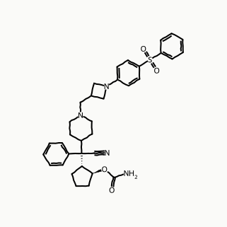 N#CC(c1ccccc1)(C1CCN(CC2CN(c3ccc(S(=O)(=O)c4ccccc4)cc3)C2)CC1)[C@H]1CCC[C@@H]1OC(N)=O